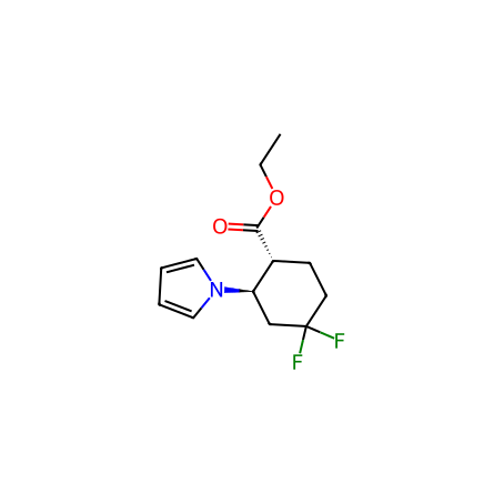 CCOC(=O)[C@@H]1CCC(F)(F)C[C@H]1n1cccc1